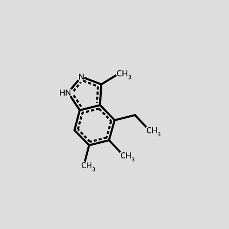 CCc1c(C)c(C)cc2[nH]nc(C)c12